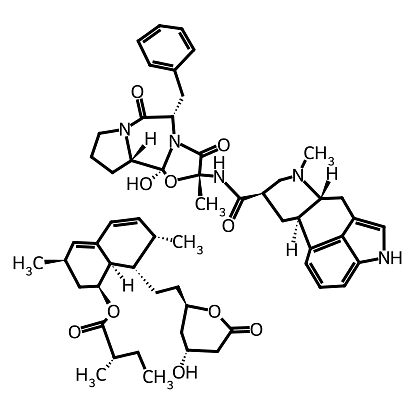 CC[C@H](C)C(=O)O[C@H]1C[C@@H](C)C=C2C=C[C@H](C)[C@H](CC[C@@H]3C[C@@H](O)CC(=O)O3)[C@H]21.CN1C[C@H](C(=O)N[C@]2(C)O[C@@]3(O)[C@@H]4CCCN4C(=O)[C@H](Cc4ccccc4)N3C2=O)C[C@@H]2c3cccc4[nH]cc(c34)C[C@H]21